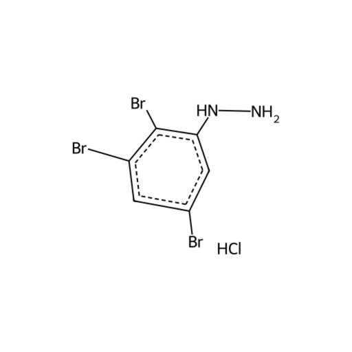 Cl.NNc1cc(Br)cc(Br)c1Br